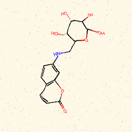 O=c1ccc2ccc(NCC3OC(O)C(O)[C@@H](O)[C@H]3O)cc2o1